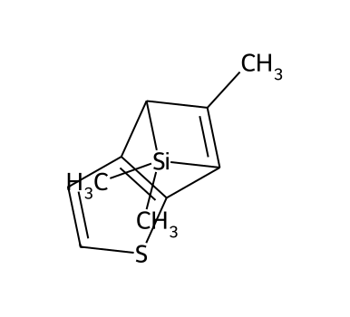 CC1=C2c3sccc3C1[Si]2(C)C